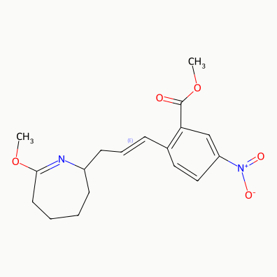 COC(=O)c1cc([N+](=O)[O-])ccc1/C=C/CC1CCCCC(OC)=N1